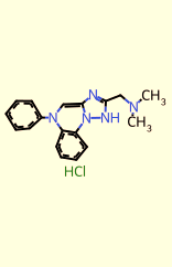 CN(C)CC1=NC2=CN(c3ccccc3)c3ccccc3N2N1.Cl